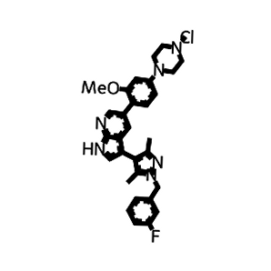 COc1cc(N2CCN(Cl)CC2)ccc1-c1cnc2[nH]cc(-c3c(C)nn(Cc4cccc(F)c4)c3C)c2c1